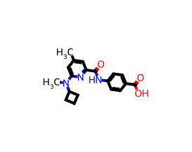 Cc1cc(C(=O)Nc2ccc(C(=O)O)cc2)nc(N(C)C2CCC2)c1